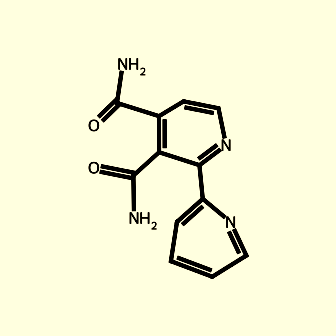 NC(=O)c1ccnc(-c2ccccn2)c1C(N)=O